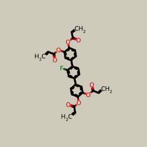 C=CC(=O)Oc1ccc(-c2ccc(-c3ccc(OC(=O)C=C)c(OC(=O)C=C)c3)c(F)c2)cc1OC(=O)C=C